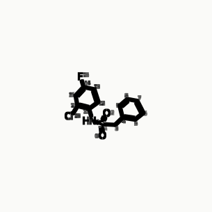 O=S(=O)(Cc1ccccc1)Nc1ccc(F)cc1Cl